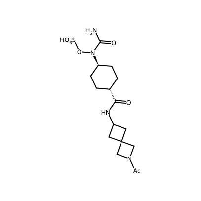 CC(=O)N1CC2(CC(NC(=O)[C@H]3CC[C@H](N(OS(=O)(=O)O)C(N)=O)CC3)C2)C1